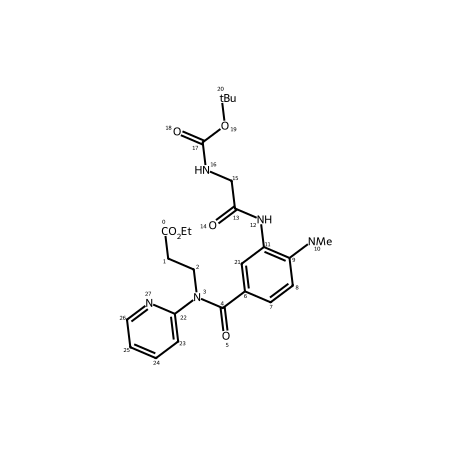 CCOC(=O)CCN(C(=O)c1ccc(NC)c(NC(=O)CNC(=O)OC(C)(C)C)c1)c1ccccn1